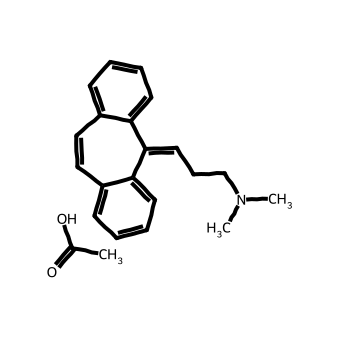 CC(=O)O.CN(C)CCC=C1c2ccccc2C=Cc2ccccc21